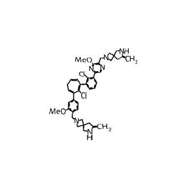 C=C1CC2(CN1)CN(Cc1ccc(C3=CCC=CC(c4cccc(-c5cnc(CN6CC7(CNC(=C)C7)C6)c(OC)n5)c4Cl)=C3Cl)cc1OC)C2